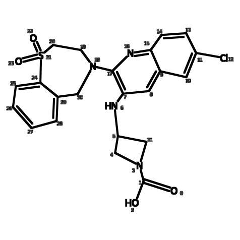 O=C(O)N1CC(Nc2cc3cc(Cl)ccc3nc2N2CCS(=O)(=O)c3ccccc3C2)C1